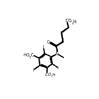 CN(C(=O)CCCC(=O)O)c1c(I)c(C(=O)O)c(I)c(C(=O)O)c1I